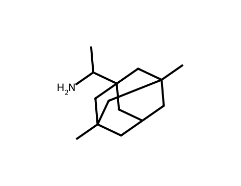 CC(N)C12CC3CC(C)(CC(C)(C3)C1)C2